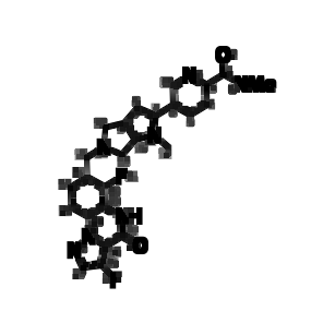 CNC(=O)c1ccc(-c2cc3c(n2C)CN(Cc2ccc4c([nH]c(=O)c5c(F)cnn54)c2F)C3)cn1